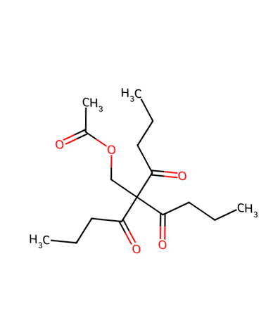 CCCC(=O)C(COC(C)=O)(C(=O)CCC)C(=O)CCC